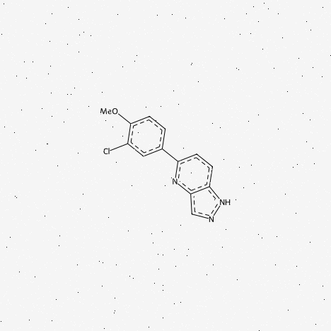 COc1ccc(-c2ccc3[nH]ncc3n2)cc1Cl